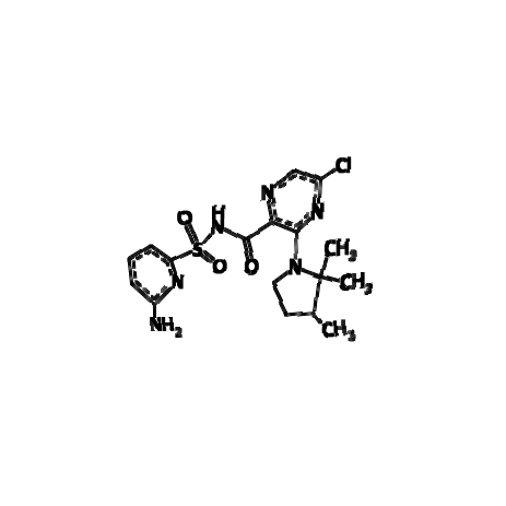 CC1CCN(c2nc(Cl)cnc2C(=O)NS(=O)(=O)c2cccc(N)n2)C1(C)C